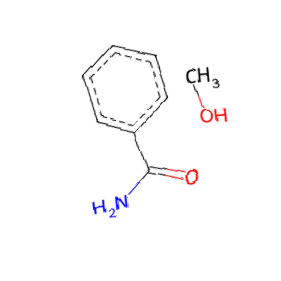 CO.NC(=O)c1ccccc1